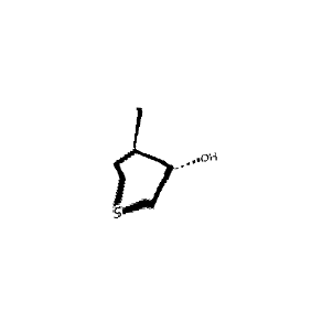 C[C@@H]1CSC[C@H]1O